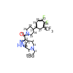 CC(C)(C)CN1CCC2C=C(C1)NN=C2C(=O)N1CCC(C2=CC=C(F)C(F)=C(C(F)(F)F)C2)CC1